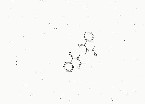 CC(=O)N(CCN(C(C)=O)C(=O)c1ccccc1)C(=O)c1ccccc1